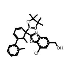 Cc1ccccc1C1=CC=CC(B2OC(C)(C)C(C)(C)O2)(c2nc3cc(CO)cc(Cl)c3o2)C1C